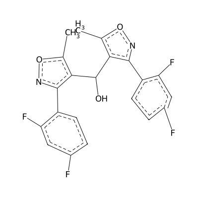 Cc1onc(-c2ccc(F)cc2F)c1C(O)c1c(-c2ccc(F)cc2F)noc1C